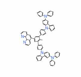 Cc1c(-c2ccc(-n3c4ccccc4c4cc(N(c5ccccc5)c5ccccc5)ccc43)cc2)cc(-c2cc3cccnc3c3ncccc23)cc1-c1ccc(-n2c3ccccc3c3cc(N(c4ccccc4)c4ccccc4)ccc32)cc1